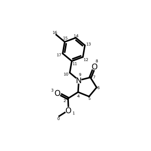 COC(=O)C1CCC(=O)N1Cc1cccc(C)c1